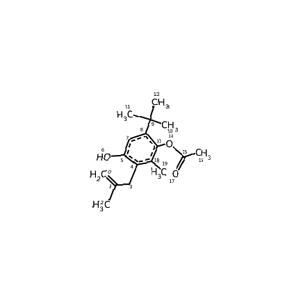 C=C(C)Cc1c(O)cc(C(C)(C)C)c(OC(C)=O)c1C